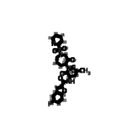 CC(C)CC(NC(=O)c1cc2cc(F)ccc2o1)C(=O)NC1CCCN(S(=O)(=O)c2ccccn2)CC1=O